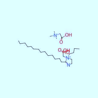 CCCCCCCCCCCCCCC1=NCC[N+]1(CC(=O)O)C(O)CCC.C[N+](C)(C)CC(=O)O